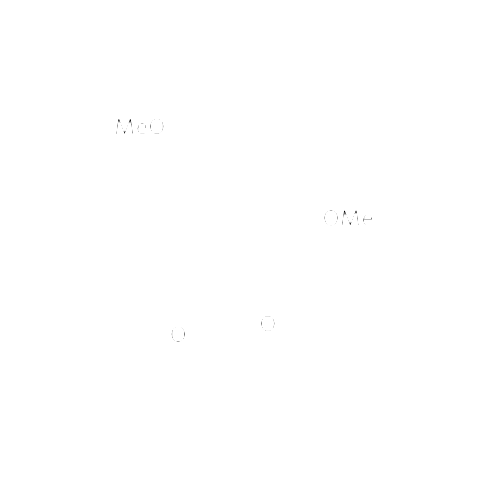 COc1cc2c(c(OC)c1C)OCO2